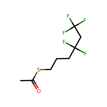 CC(=O)SCCCC(F)(F)CC(F)(F)F